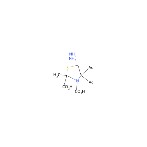 CC(=O)C1(C(C)=O)CSC(C)(C(=O)O)N1C(=O)O.N.N